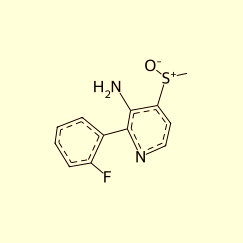 C[S+]([O-])c1ccnc(-c2ccccc2F)c1N